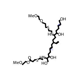 C=CC(C/C=C/CCC(O)C(CO)NCCSCCC(=O)OCCOC)CCC(NCCSCCCOCCOC)C(O)CC/C=C/CO